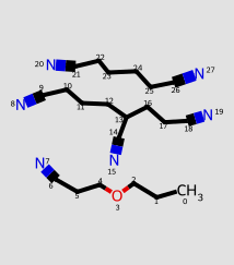 CCCOCCC#N.N#CCCCC(C#N)CCC#N.N#CCCCCC#N